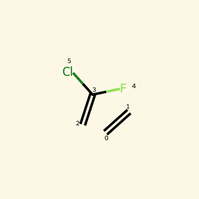 C=C.C=C(F)Cl